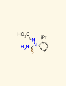 CC(C)c1ccccc1N(/N=C/C(=O)O)C(N)=S